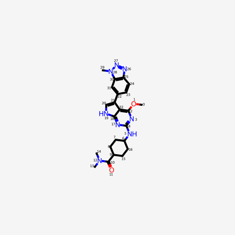 COc1nc(NC2CCC(C(=O)N(C)C)CC2)nc2[nH]cc(-c3ccc4nnn(C)c4c3)c12